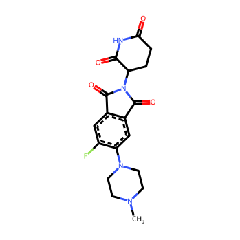 CN1CCN(c2cc3c(cc2F)C(=O)N(C2CCC(=O)NC2=O)C3=O)CC1